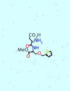 COC(=O)[C@H](COCc1cccs1)NC(=O)[C@@H](N)CC(=O)O